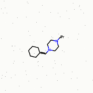 CC(C)N1CCN(C=C2CCCCC2)CC1